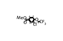 COC(=O)c1ccc(OCC(F)(F)F)c(Cl)c1